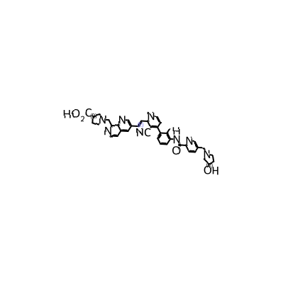 Cc1c(NC(=O)c2ccc(CN3CC[C@@H](O)C3)cn2)cccc1-c1ccnc(/C=C/c2cnc3c(CN4CC[C@@H](C(=O)O)C4)nccc3c2)c1C#N